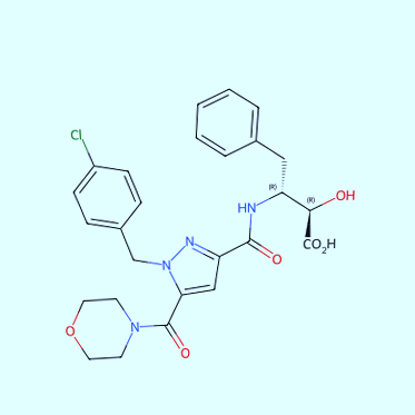 O=C(N[C@H](Cc1ccccc1)[C@@H](O)C(=O)O)c1cc(C(=O)N2CCOCC2)n(Cc2ccc(Cl)cc2)n1